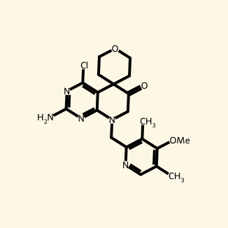 COc1c(C)cnc(CN2CC(=O)C3(CCOCC3)c3c(Cl)nc(N)nc32)c1C